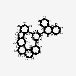 c1ccc(-c2nc(-c3cc4ccccc4c4ccccc34)nc(-c3cccc4oc5cc6ccc7ccccc7c6cc5c34)n2)cc1